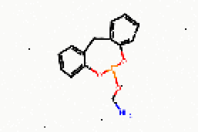 NCOP1Oc2ccccc2Cc2ccccc2O1